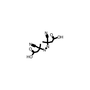 CC(C#N)(CC(=O)O)/N=N\C(C)(C#N)CC(=O)O